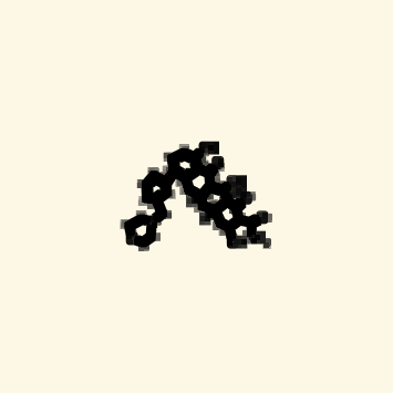 NC(=O)C1C(=O)[C@@]2(O)C(O)=C3C(=O)c4c(O)ccc(-c5cccc(CN6CCOCC6)c5)c4C[C@H]3C[C@H]2CC1O